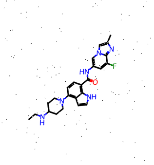 CCNC1CCN(c2ccc(C(=O)Nc3cc(F)c4nc(C)cn4c3)c3[nH]ccc23)CC1